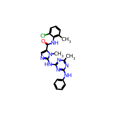 Cc1nc(Nc2ccccc2)nc(Nc2ncc(C(=O)Nc3c(C)cccc3Cl)n2C)n1